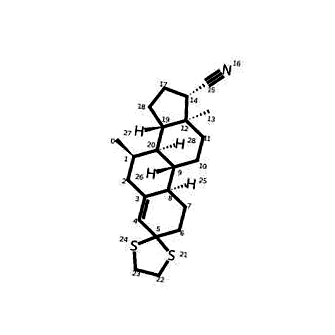 C[C@@H]1CC2=CC3(CC[C@@H]2[C@H]2CC[C@]4(C)[C@@H](C#N)CC[C@H]4[C@@H]21)SCCS3